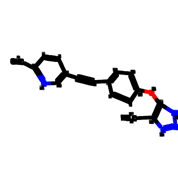 O=Cc1ccc(C#Cc2ccc(Oc3[nH]nnc3C(=O)O)cc2)cn1